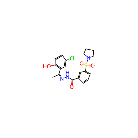 CC(=NNC(=O)c1cccc(S(=O)(=O)N2CCCC2)c1)c1cc(Cl)ccc1O